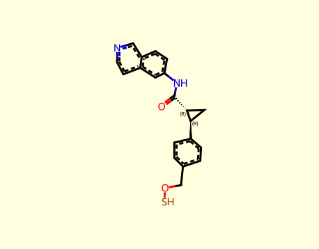 O=C(Nc1ccc2cnccc2c1)[C@@H]1C[C@H]1c1ccc(COS)cc1